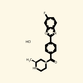 C[C@H]1CN(C(=O)c2ccc(-c3nc4ccc(F)cc4o3)cc2)CCN1.Cl